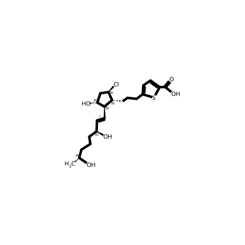 C[C@@H](O)CCC[C@H](O)/C=C/[C@@H]1[C@@H](CCCc2ccc(C(=O)O)s2)[C@H](Cl)C[C@H]1O